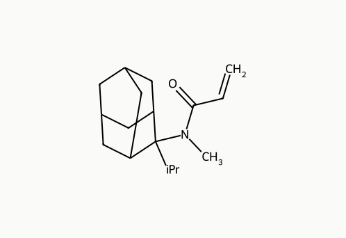 C=CC(=O)N(C)C1(C(C)C)C2CC3CC(C2)CC1C3